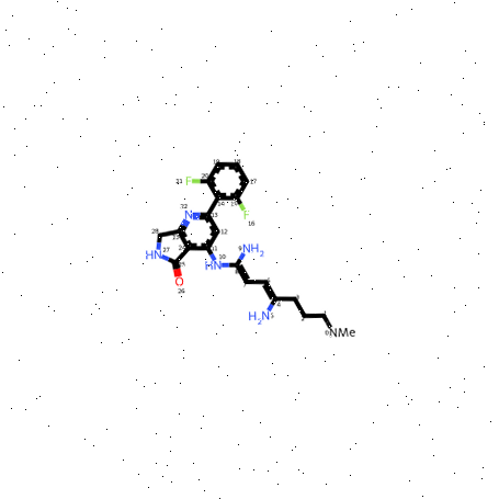 CNCCC/C(N)=C/C=C(\N)Nc1cc(-c2c(F)cccc2F)nc2c1C(=O)NC2